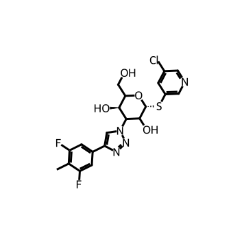 Cc1c(F)cc(-c2cn(C3C(O)[C@@H](Sc4cncc(Cl)c4)OC(CO)[C@@H]3O)nn2)cc1F